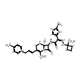 Nc1cc[n+](CC=CC2=C(C(=O)[O-])N3C(=O)C(NC(=O)/C(=N\OC4(C(=O)O)CCC4)c4csc(N)n4)[C@@H]3SC2)cc1